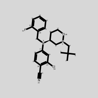 CC(C)(C)CN1C[C@@H](N(Cc2ccccc2F)c2ccc(C#N)c(Cl)c2)CCO1